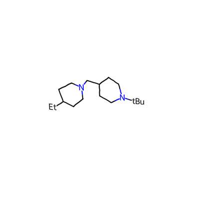 CCC1CCN(CC2CCN(C(C)(C)C)CC2)CC1